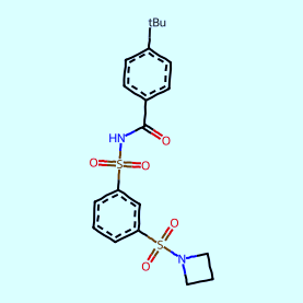 CC(C)(C)c1ccc(C(=O)NS(=O)(=O)c2cccc(S(=O)(=O)N3CCC3)c2)cc1